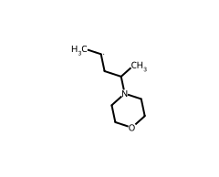 C[CH]CC(C)N1CCOCC1